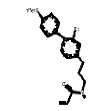 C=CC(=O)N(C)CCCc1ccc(-c2ccc(CCCCC)cc2)c(CC)c1